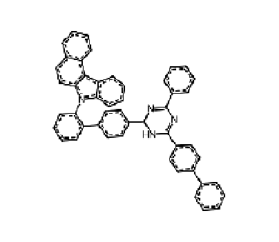 c1ccc(C2=NC(c3ccc(-c4ccccc4-n4c5ccccc5c5c6ccccc6ccc54)cc3)NC(c3ccc(-c4ccccc4)cc3)=N2)cc1